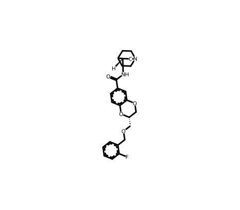 O=C(N[C@H]1CN2CCC1CC2)c1ccc2c(c1)OC[C@H](COCc1ccccc1F)O2